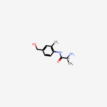 C[C@H](N)C(=O)Nc1ccc(CO)cc1C(F)(F)F